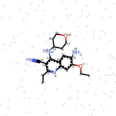 CCOc1cc2nc(CC)c(C#N)c(NC3CCOCC3)c2cc1N